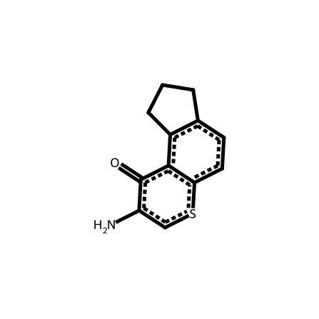 Nc1csc2ccc3c(c2c1=O)CCC3